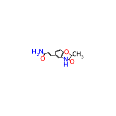 CC1Oc2ccc(/C=C/C(N)=O)cc2NC1=O